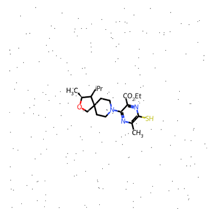 CCOC(=O)c1nc(S)c(C)nc1N1CCC2(CC1)CO[C@@H](C)C2C(C)C